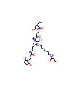 CCC1CC(=O)N(CCC(=O)N[C@@H](CCCCNC(=O)CCN2C(=O)C=CC2=O)C(=O)NCCCCCCNC(=O)CCSC)C1=O